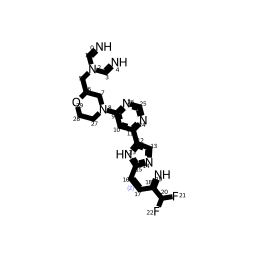 N=CN(C=N)CC1CN(c2cc(-c3cnc(/C=C\C(=N)C(F)F)[nH]3)ncn2)CCO1